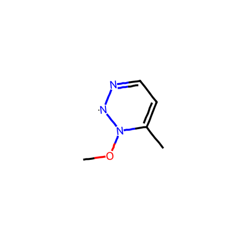 CON1[N]N=CC=C1C